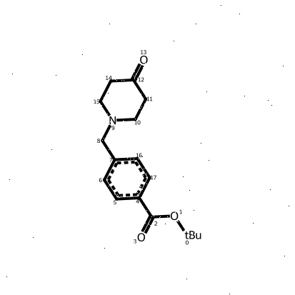 CC(C)(C)OC(=O)c1ccc(CN2CCC(=O)CC2)cc1